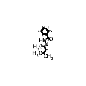 C/C(CC(C)C)=N\NC(=O)c1ccccc1